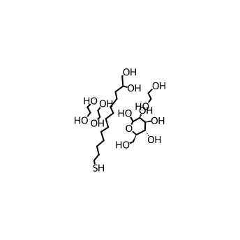 OCC(O)CCCCCCCCCCCS.OCCO.OCCO.OCCO.OC[C@H]1OC(O)[C@@H](O)[C@@H](O)[C@@H]1O